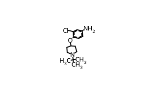 CC(C)(C)N1CCC(Oc2ccc(N)cc2Cl)CC1